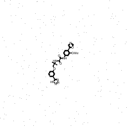 COc1cc(NC(=O)C(=O)NC(C)(C)COc2cccc(-c3nnn[nH]3)c2)ccc1-c1cnco1